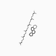 CC(C)=CCC/C(C)=C/CC/C(C)=C/CC/C=C(\C)CC/C=C(\C)CCC=C(C)C.c1ccc2c(c1)ccc1c3c(ccc12)CCCC3